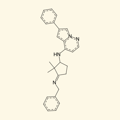 CC1(C)C(=NCc2ccccc2)CCC1Nc1ccnn2cc(-c3ccccc3)cc12